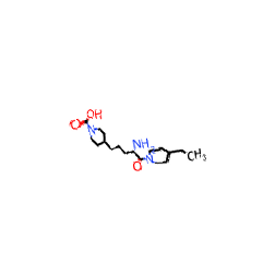 CCC1CCN(C(=O)[C@@H](N)CCCC2CCN(C(=O)O)CC2)CC1